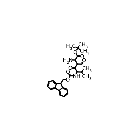 CC(C)C(NC(=O)OCC1c2ccccc2-c2ccccc21)C(=O)C(C=O)C(N)C(=O)OC(C)(C)C